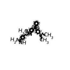 CCCN(CCC)C1CCC(N(c2ccc3c(c2)nc(CCc2ccc(C(=N)N)cc2)n3C)S(=O)(=O)c2ccccc2)CC1